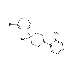 COc1ccccc1N1CCC(C#N)(c2cccc(F)c2)CC1